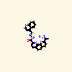 C=C(N)c1ccc2ccc3ccc(C(=O)N/N=C/c4ccnc5ccccc45)nc3c2n1